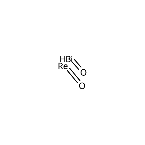 [O]=[BiH].[O]=[Re]